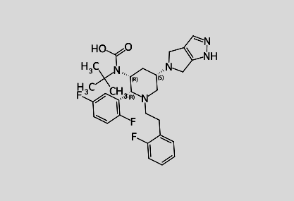 CC(C)(C)N(C(=O)O)[C@@H]1C[C@H](N2Cc3cn[nH]c3C2)CN(CCc2ccccc2F)[C@@H]1c1cc(F)ccc1F